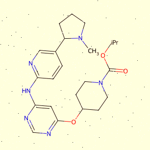 CC(C)OC(=O)N1CCC(Oc2cc(Nc3ccc(C4CCCN4C)cn3)ncn2)CC1